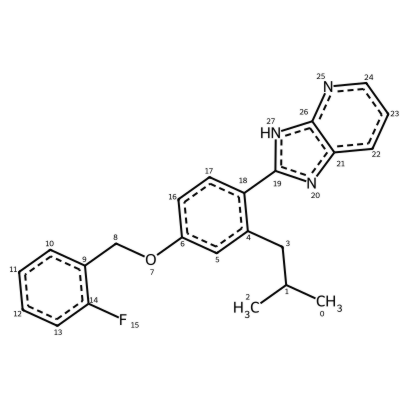 CC(C)Cc1cc(OCc2ccccc2F)ccc1-c1nc2cccnc2[nH]1